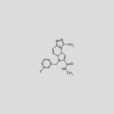 CNC(=O)C1=CC2C(C=Cc3nnc(C)n32)N1Cc1cccc(F)c1